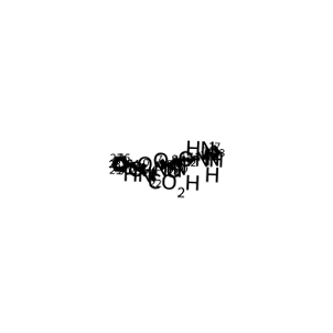 O=C(NC(CNC(=O)c1cc(OCCNC2NCCN2)no1)C(=O)O)OCc1ccccc1